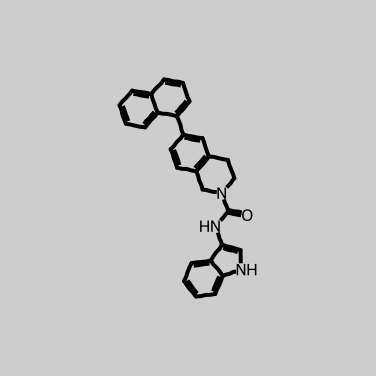 O=C(Nc1c[nH]c2ccccc12)N1CCc2cc(-c3cccc4ccccc34)ccc2C1